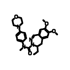 CCC1Cc2cc(OC)c(OC)cc2C=NN1C(=O)N(C)c1ccc(N2CCOCC2)cc1